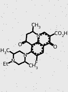 CCN1CC(C)N(c2c(F)cc3c(=O)c(C(=O)O)cn4c3c2C(=O)CC4C)CC1C